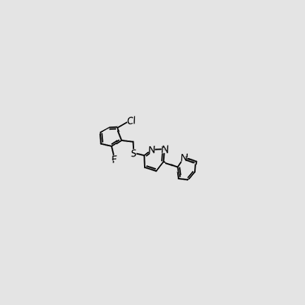 Fc1cccc(Cl)c1CSc1ccc(-c2ccccn2)nn1